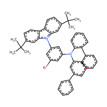 CC(C)(C)c1ccc2c3ccc(C(C)(C)C)cc3n(-c3cc(Br)cc(N(c4cccc(-c5ccccc5)c4)c4ccccc4-c4ccccc4)c3)c2c1